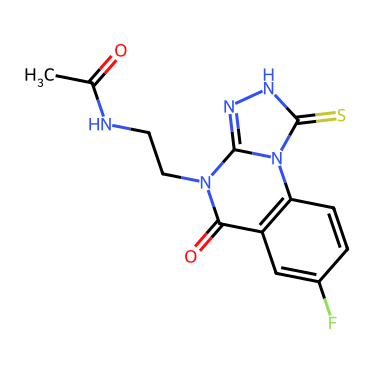 CC(=O)NCCn1c(=O)c2cc(F)ccc2n2c(=S)[nH]nc12